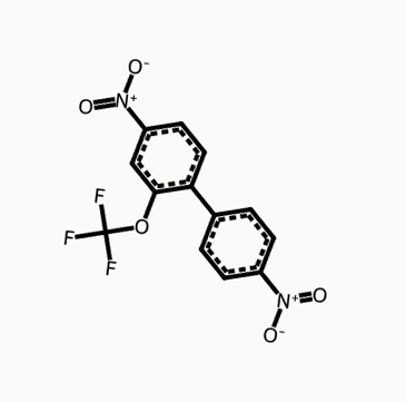 O=[N+]([O-])c1ccc(-c2ccc([N+](=O)[O-])cc2OC(F)(F)F)cc1